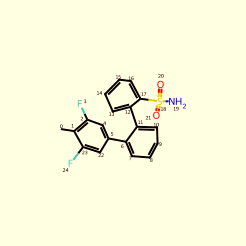 Cc1c(F)cc(-c2ccccc2-c2ccccc2S(N)(=O)=O)cc1F